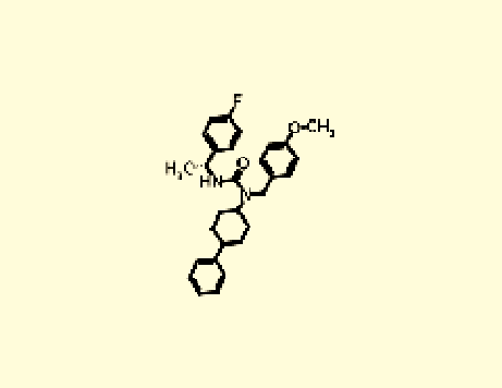 COc1ccc(CN(C(=O)N[C@H](C)c2ccc(F)cc2)C2CCC(c3ccccc3)CC2)cc1